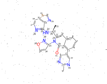 Cc1ncc(-c2cccc3cc([C@H](C)Nc4nccc5scnc45)n(-c4ccon4)c(=O)c23)cn1